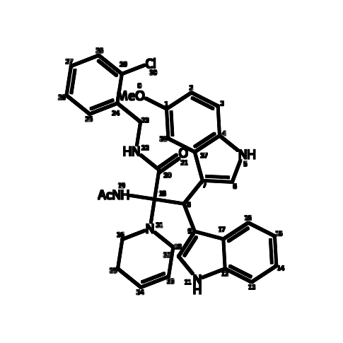 COc1ccc2[nH]cc(C(c3c[nH]c4ccccc34)C(NC(C)=O)(C(=O)NCc3ccccc3Cl)N3CC=CCC3)c2c1